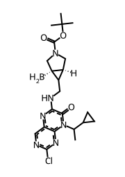 B[C@]12CN(C(=O)OC(C)(C)C)C[C@H]1C2CNc1nc2cnc(Cl)nc2n(C(C)C2CC2)c1=O